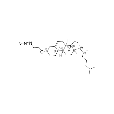 CC(C)CCC[C@@H](C)[C@H]1CC[C@H]2[C@@H]3CC=C4C[C@@H](OCCN=[N+]=[N-])CC[C@]4(C)[C@H]3CC[C@]12C